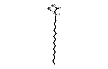 CCCCCCCCCCCCCCCCN[C@H](CS)C(=O)O